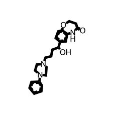 O=C1CCOc2ccc(C(O)CCCN3CCN(c4ccccc4)CC3)cc2N1